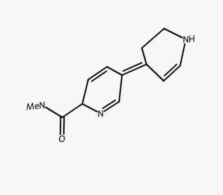 CNC(=O)C1C=CC(=C2C=CNCC2)C=N1